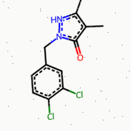 Cc1[nH]n(Cc2ccc(Cl)c(Cl)c2)c(=O)c1C